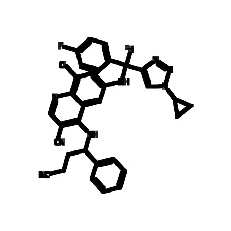 [2H]C(Nc1cc(Cl)c2ncc(C#N)c(NC(CCC#N)c3ccccc3)c2c1)(c1ccc(F)cc1)c1cn(C2CC2)nn1